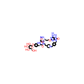 CCCCOc1nc(N)c2[nH]c(=O)n(Cc3ccc(CN4CCC(CCNC(=O)[C@H](Cc5ccc(O[C@@H]6O[C@H](CO)[C@@H](O)[C@H](O)[C@H]6O)cc5)NC(=O)CON)CC4)cc3)c2n1